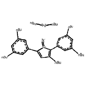 CCCCC1=C(c2cc(CCCC)cc(CCCC)c2)[N+](=[N-])C(c2cc(CCCC)cc(CCCC)c2)=C1.CCC[CH2][Pd][CH2]CCC